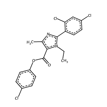 CCn1c(-c2ccc(Cl)cc2Cl)nc(C)c1C(=O)Oc1ccc(Cl)cc1